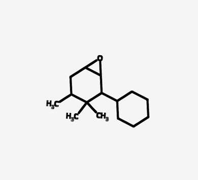 CC1CC2OC2C(C2CCCCC2)C1(C)C